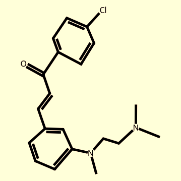 CN(C)CCN(C)c1cccc(C=CC(=O)c2ccc(Cl)cc2)c1